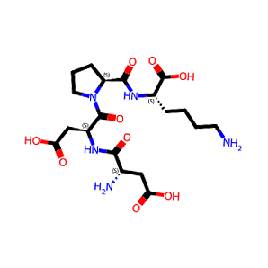 NCCCC[C@H](NC(=O)[C@@H]1CCCN1C(=O)[C@H](CC(=O)O)NC(=O)[C@@H](N)CC(=O)O)C(=O)O